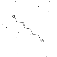 CCCCCC/C=C/CCl